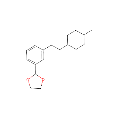 CC1CCC(CCc2cccc(C3OCCO3)c2)CC1